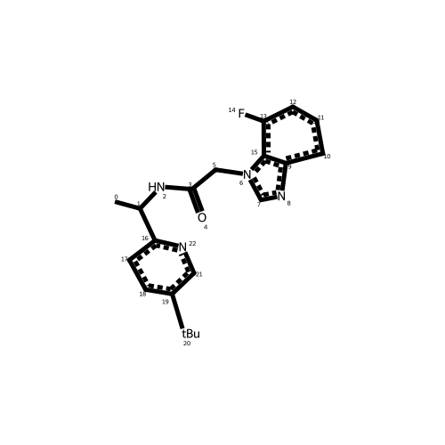 CC(NC(=O)Cn1cnc2cccc(F)c21)c1ccc(C(C)(C)C)cn1